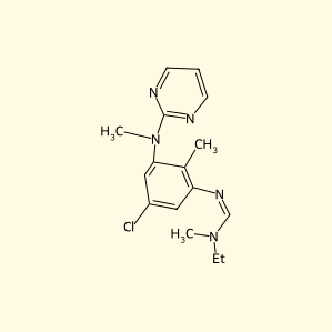 CCN(C)/C=N\c1cc(Cl)cc(N(C)c2ncccn2)c1C